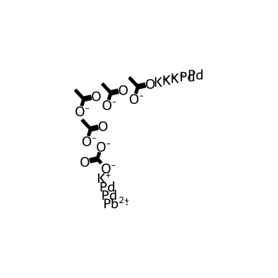 CC(=O)[O-].CC(=O)[O-].CC(=O)[O-].CC(=O)[O-].O=C([O-])[O-].[K+].[K+].[K+].[K+].[Pb+2].[Pd].[Pd].[Pd].[Pd]